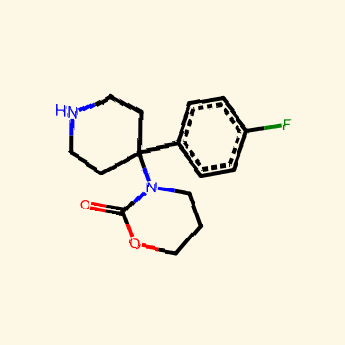 O=C1OCCCN1C1(c2ccc(F)cc2)CCNCC1